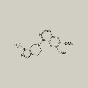 COc1cc2ncnc(N3CCc4cnn(C)c4C3)c2cc1OC